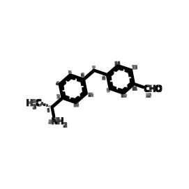 C[C@@H](N)c1ccc(Cc2ccc(C=O)cc2)cc1